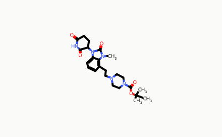 Cn1c(=O)n(C2CCC(=O)NC2=O)c2cccc(CCN3CCN(C(=O)OC(C)(C)C)CC3)c21